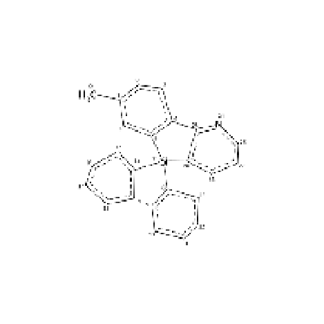 Cc1ccc2c(c1)[Si](c1ccccc1)(c1ccccc1)c1cccnc1-2